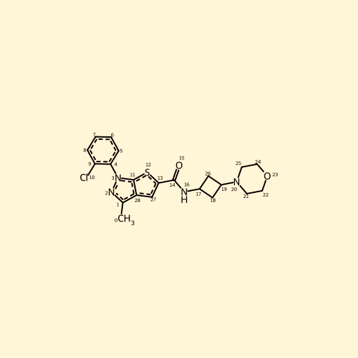 Cc1nn(-c2ccccc2Cl)c2sc(C(=O)NC3CC(N4CCOCC4)C3)cc12